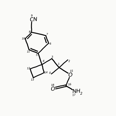 CC(C)(CC1(c2ccc(C#N)cc2)CCC1)OC(N)=O